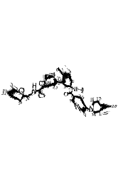 Cc1ccc(NC(=O)c2cncc(N3CCCCC3)c2)cc1-c1cc(C(=O)NCC2CCCO2)on1